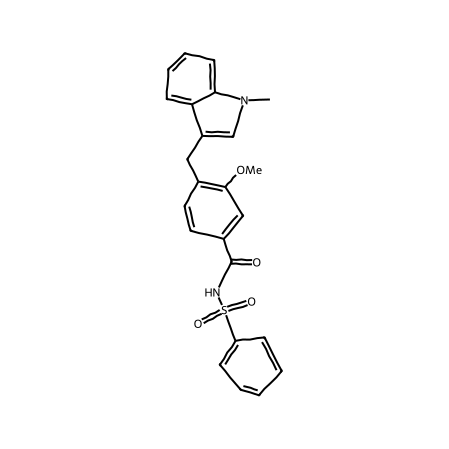 COc1cc(C(=O)NS(=O)(=O)c2ccccc2)ccc1Cc1cn(C)c2ccccc12